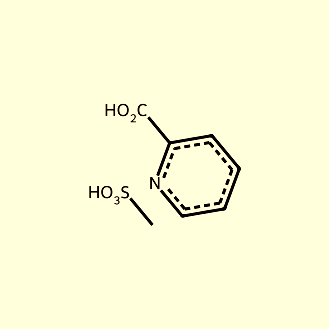 CS(=O)(=O)O.O=C(O)c1ccccn1